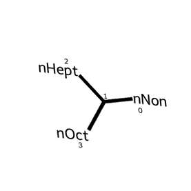 CCCCCCCCCC(CCCCCCC)CCCCCCCC